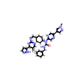 Cn1cc(-c2cnc(N(C(=O)NCc3ccccc3)C3CCC(/C=N\c4ncc(C#N)c(-c5ccn[nH]5)n4)CC3)cn2)cn1